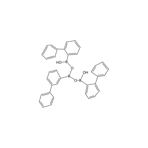 OB(OB(OB(O)c1ccccc1-c1ccccc1)c1cccc(-c2ccccc2)c1)c1ccccc1-c1ccccc1